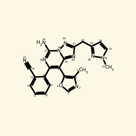 Cc1ncoc1-c1c(-c2ccccc2C#N)nc(N)n2nc(Cc3ccn(C)n3)nc12